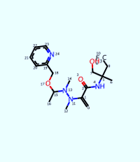 C=C(C(=O)NC(C)(CO)CC(F)(F)F)N(C)N(C)C(C)OCc1ccccn1